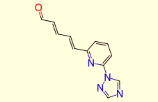 O=C/C=C/C=C/c1cccc(-n2cncn2)n1